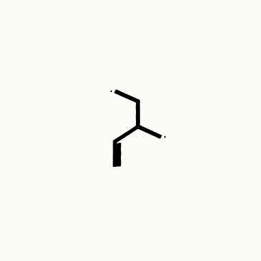 [CH2]CC([CH2])C=C